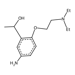 CCN(CC)CCOc1ccc(N)cc1C(C)O